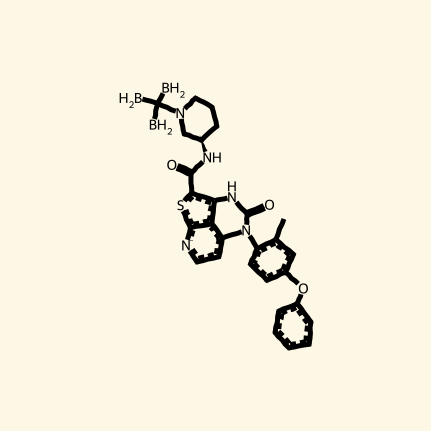 BC(B)(B)N1CCC[C@@H](NC(=O)c2sc3nccc4c3c2NC(=O)N4c2ccc(Oc3ccccc3)cc2C)C1